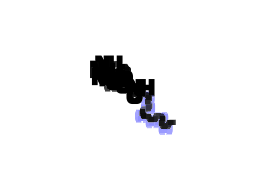 CC/C=C\C/C=C\C/C=C\C/C=C\C/C=C\C/C=C\CCC(=O)NCCOP(=O)(CO[C@H](C)Cn1cnc2c(N)ncnc21)Oc1ccccc1